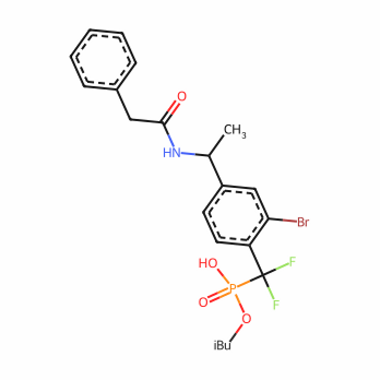 CCC(C)OP(=O)(O)C(F)(F)c1ccc(C(C)NC(=O)Cc2ccccc2)cc1Br